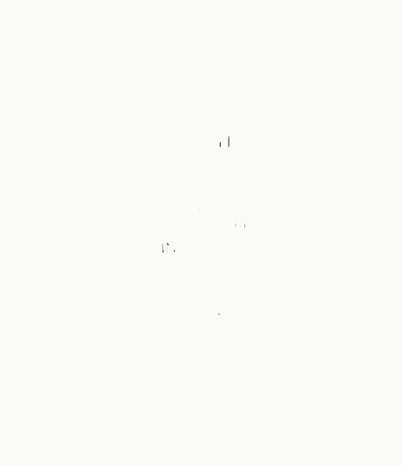 O=C(CO)NC1CC1